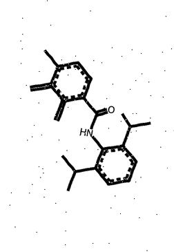 C=c1c(C)ccc(C(=O)Nc2c(C(C)C)cccc2C(C)C)c1=C